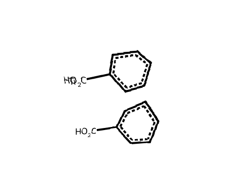 O=C(O)c1ccccc1.O=C(O)c1ccccc1.[Ti]